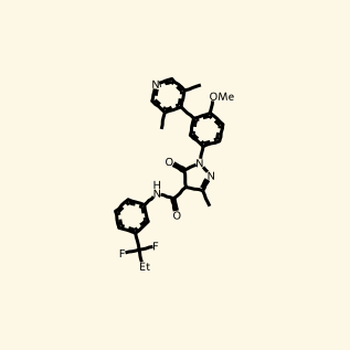 CCC(F)(F)c1cccc(NC(=O)C2C(=O)N(c3ccc(OC)c(-c4c(C)cncc4C)c3)N=C2C)c1